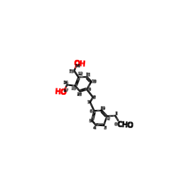 O=CCc1cccc(CCc2ccc(CO)c(CO)c2)c1